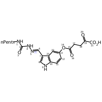 CCCCCNC(=O)N/N=C/c1c[nH]c2ccc(OC(=O)CCC(=O)C(=O)O)cc12